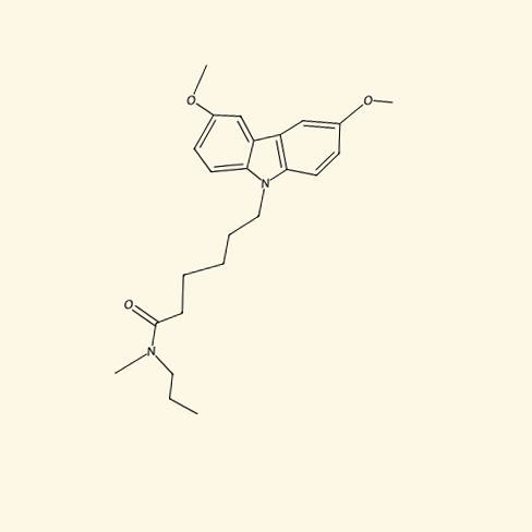 CCCN(C)C(=O)CCCCCn1c2ccc(OC)cc2c2cc(OC)ccc21